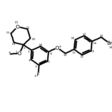 COC1(c2cc(F)cc(OCc3ccc(CBr)cc3)c2)CCOCC1